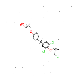 C[C@@H](CO)COc1ccc(C(C)(C)c2cc(Cl)c(OC[C@@H](C)CCl)c(Cl)c2)cc1